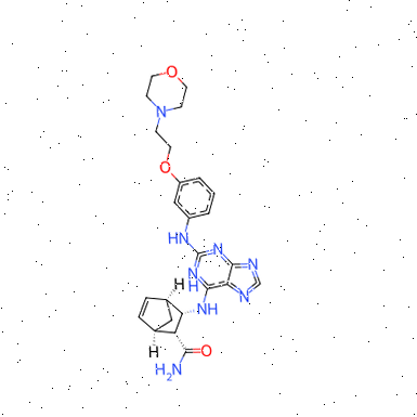 NC(=O)[C@H]1[C@@H](Nc2[nH]c(Nc3cccc(OCCN4CCOCC4)c3)nc3ncnc2-3)[C@@H]2C=C[C@H]1C2